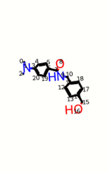 CN(C)c1ccc(C(=O)NCc2ccc(CO)cc2)cc1